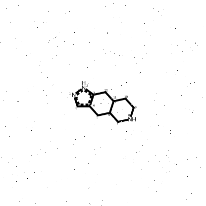 c1n[nH]c2c1CC1CNCCC1C2